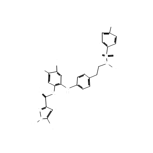 Cc1ccc(S(=O)(=O)N(CCc2ccc(Nc3cc(Cl)c(C(F)(F)F)cc3NC(=O)c3cc(C)n(C)n3)cc2)C(=O)O)cc1